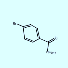 CCCCCC(=O)c1ccc(Br)cc1